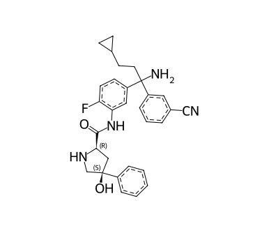 N#Cc1cccc(C(N)(CCC2CC2)c2ccc(F)c(NC(=O)[C@H]3C[C@](O)(c4ccccc4)CN3)c2)c1